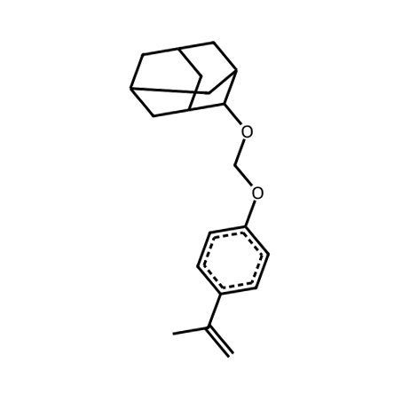 C=C(C)c1ccc(OCOC2C3CC4CC(C3)CC2C4)cc1